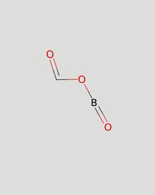 O=BOC=O